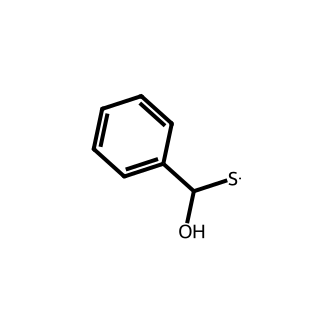 OC([S])c1ccccc1